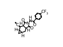 C=C=C1[C@H]2C(=O)N(NC(=O)c3ccc(C(F)(F)F)cc3)C(=O)[C@@H]2C[C@H]2C[C@H]12